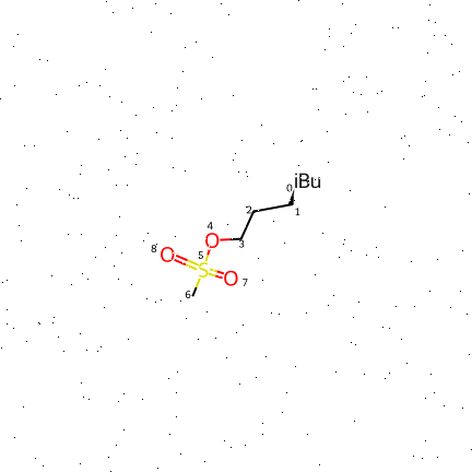 CC[C@H](C)CCCOS(C)(=O)=O